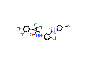 N#CC1CCC(NC(=O)c2cc(NCC3(C=O)C(c4ccc(Cl)c(Cl)c4)C3(Cl)Cl)ccc2Cl)C1